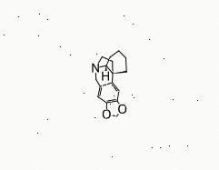 c1c2c(cc3c1OCO3)[C@]13CCCC[C@H]1N(CC3)C2